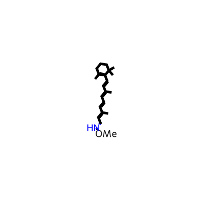 CONC/C=C(C)/C=C/C=C(C)/C=C/C1=C(C)CCCC1(C)C